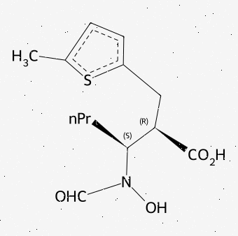 CCC[C@@H]([C@@H](Cc1ccc(C)s1)C(=O)O)N(O)C=O